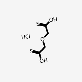 Cl.OC(=S)COCC(O)=S